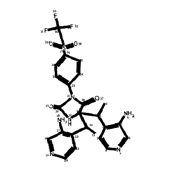 CC(c1ccncc1N)C1(C(C)c2ccncc2N)NC(=O)N(c2ccc(S(=O)(=O)C(F)(F)F)cc2)C1=O